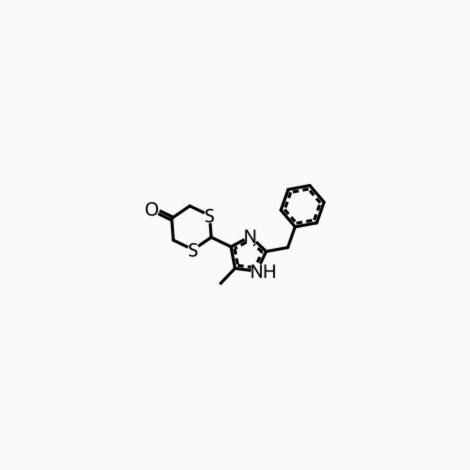 Cc1[nH]c(Cc2ccccc2)nc1C1SCC(=O)CS1